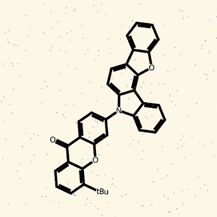 CC(C)(C)c1cccc2c(=O)c3ccc(-n4c5ccccc5c5c6oc7ccccc7c6ccc54)cc3oc12